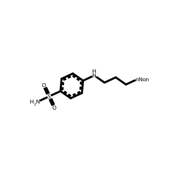 CCCCCCCCCCCCNc1ccc(S(N)(=O)=O)cc1